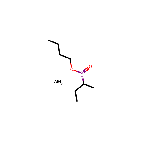 CCCCO[PH](=O)C(C)CC.[AlH3]